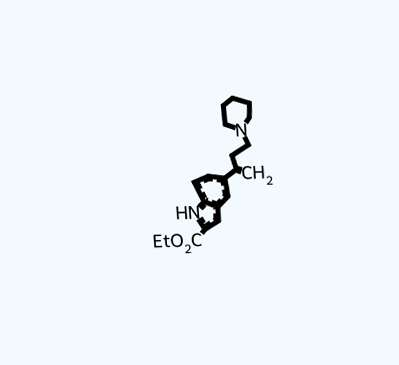 C=C(CCN1CCCCC1)c1ccc2[nH]c(C(=O)OCC)cc2c1